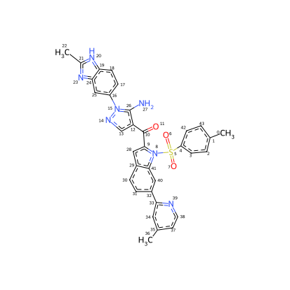 Cc1ccc(S(=O)(=O)n2c(C(=O)c3cnn(-c4ccc5[nH]c(C)nc5c4)c3N)cc3ccc(-c4cc(C)ccn4)cc32)cc1